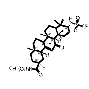 CN(O)C(=O)[C@@]1(C)CC[C@]2(C)CC[C@]3(C)C(=CC(=O)[C@@H]4[C@@]5(C)CC[C@@H](NS(=O)(=O)C(F)(F)F)C(C)(C)C5CC[C@]43C)[C@@H]2C1